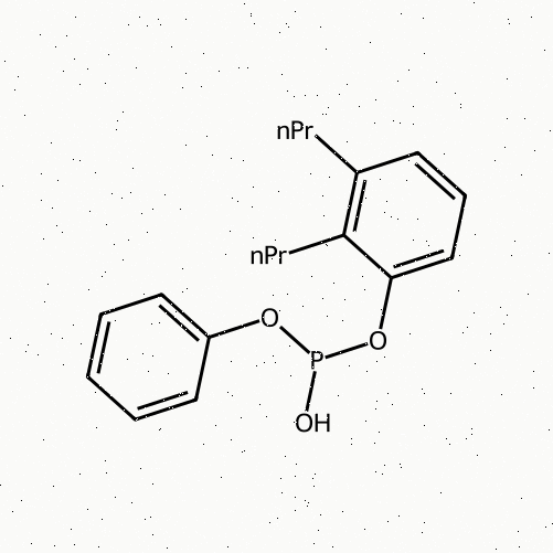 CCCc1cccc(OP(O)Oc2ccccc2)c1CCC